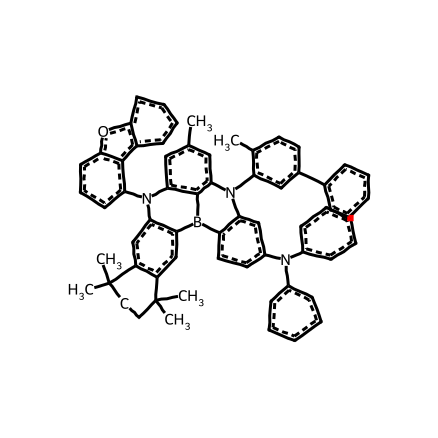 Cc1cc2c3c(c1)N(c1cccc4oc5ccccc5c14)c1cc4c(cc1B3c1ccc(N(c3ccccc3)c3ccccc3)cc1N2c1cc(-c2ccccc2)ccc1C)C(C)(C)CCC4(C)C